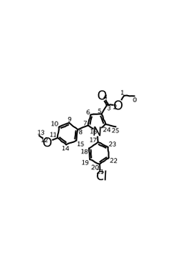 CCOC(=O)c1cc(-c2ccc(OC)cc2)n(-c2ccc(Cl)cc2)c1C